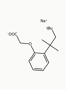 CC(C)(C)CC(C)(C)c1ccccc1OCC(=O)[O-].[Na+]